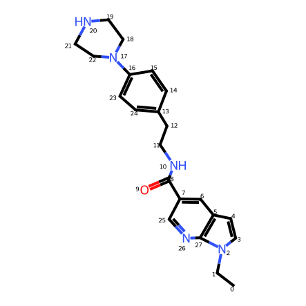 CCn1ccc2cc(C(=O)NCCc3ccc(N4CCNCC4)cc3)cnc21